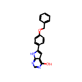 Oc1ncnc2[nH]c(-c3ccc(OCc4ccccc4)cc3)cc12